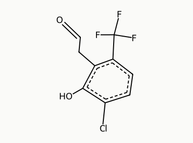 O=CCc1c(C(F)(F)F)ccc(Cl)c1O